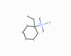 CCC1([N+](C)(C)Cl)CCCCC1